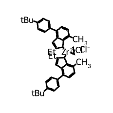 CCC1=Cc2c(-c3ccc(C(C)(C)C)cc3)ccc(C)c2[CH]1[Zr+2]1([CH]2C(CC)=Cc3c(-c4ccc(C(C)(C)C)cc4)ccc(C)c32)[CH2][CH2]1.[Cl-].[Cl-]